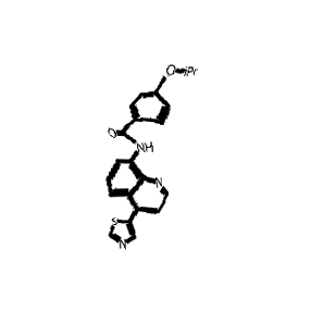 CC(C)Oc1ccc(C(=O)Nc2cccc3c(-c4cncs4)ccnc23)cc1